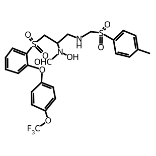 Cc1ccc(S(=O)(=O)CNCC(CS(=O)(=O)c2ccccc2Oc2ccc(OC(F)(F)F)cc2)N(O)C=O)cc1